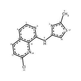 Cc1nc(Nc2nccc3ccc(Cl)nc23)cs1